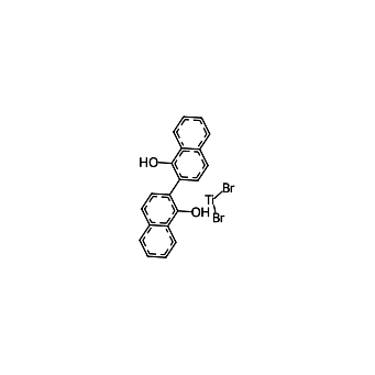 Oc1c(-c2ccc3ccccc3c2O)ccc2ccccc12.[Br][Ti][Br]